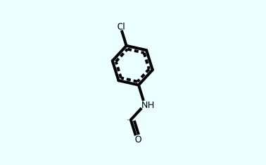 O=[C]Nc1ccc(Cl)cc1